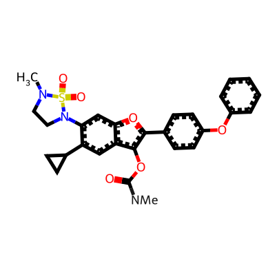 CNC(=O)Oc1c(-c2ccc(Oc3ccccc3)cc2)oc2cc(N3CCN(C)S3(=O)=O)c(C3CC3)cc12